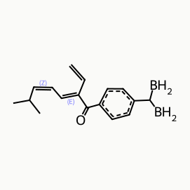 BC(B)c1ccc(C(=O)/C(C=C)=C/C=C\C(C)C)cc1